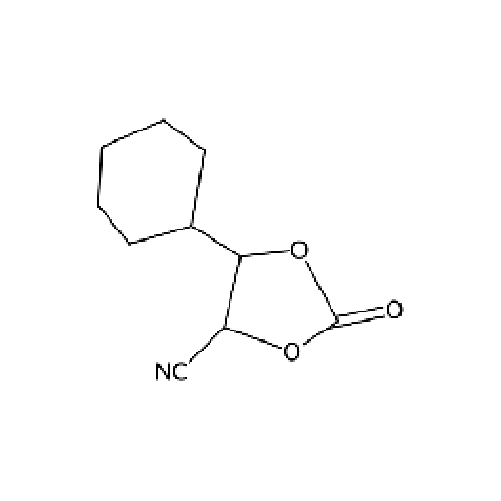 N#CC1OC(=O)OC1C1CCCCC1